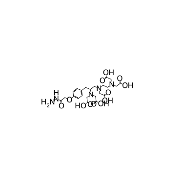 NNC(=O)COc1ccc(CC(CN(CCN(CC(=O)O)CC(=O)O)CC(=O)O)N(CC(=O)O)CC(=O)O)cc1